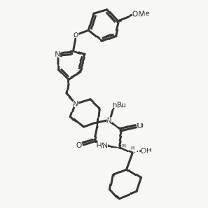 CCCCN1C(=O)[C@@H]([C@H](O)C2CCCCC2)NC(=O)C12CCN(Cc1ccc(Oc3ccc(OC)cc3)nc1)CC2